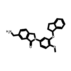 COc1ccc(N2Cc3ccc(CN)cc3C2=O)cc1OC1CCc2ccccc21